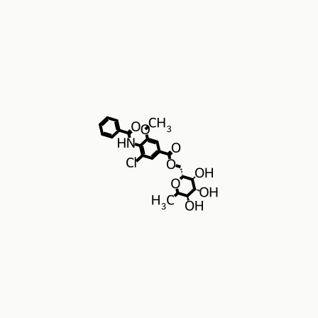 COc1cc(C(=O)OC[C@H]2OC(C)[C@H](O)[C@@H](O)[C@H]2O)cc(Cl)c1NC(=O)c1ccccc1